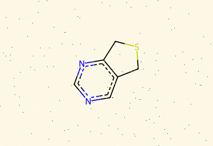 [c]1ncnc2c1CSC2